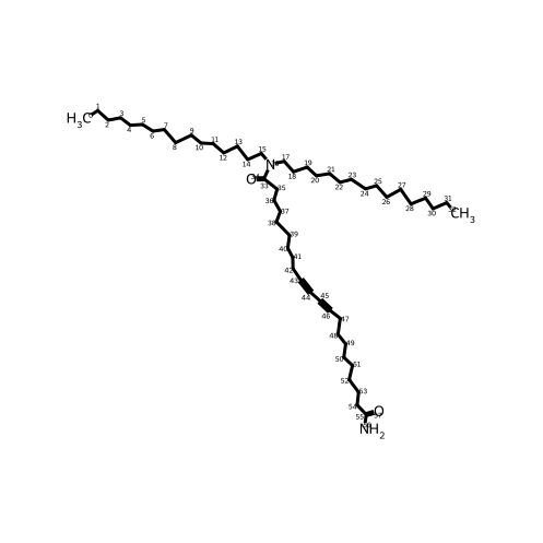 CCCCCCCCCCCCCCCCN(CCCCCCCCCCCCCCCC)C(=O)CCCCCCCCC#CC#CCCCCCCCCC(N)=O